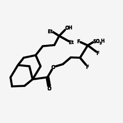 CCC(O)(CC)CCC1CC2CCCC(C(=O)OCCC(F)C(F)(F)S(=O)(=O)O)(C2)C1